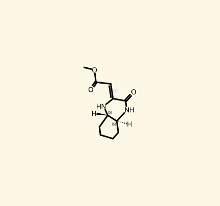 COC(=O)/C=C1\N[C@H]2CCCC[C@@H]2NC1=O